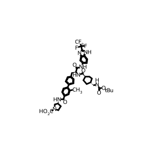 Cc1cc(C(=O)N[C@@H]2CCN(C(=O)O)C2)ccc1-c1ccc(C[C@H](NC(=O)[C@H]2CC[C@H](CNC(=O)OC(C)(C)C)CC2)C(=O)Nc2ccc3[nH]c(C(F)(F)C(F)(F)F)nc3c2)cc1